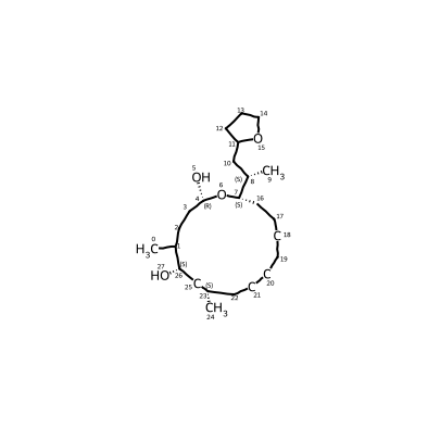 CC1CC[C@H](O)O[C@H]([C@@H](C)CC2CCCO2)CCCCCCC[C@H](C)C[C@@H]1O